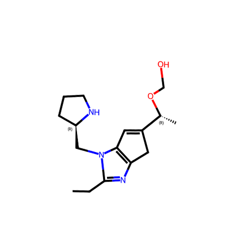 CCc1nc2c(n1C[C@H]1CCCN1)C=C([C@@H](C)OCO)C2